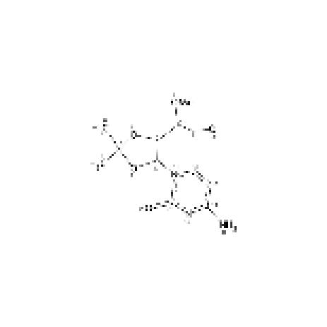 COC(CO)C1OC(C)(C)OC1n1ccc(N)nc1=O